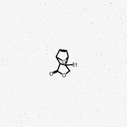 CCC12COC(=O)C1C1C=CC2O1